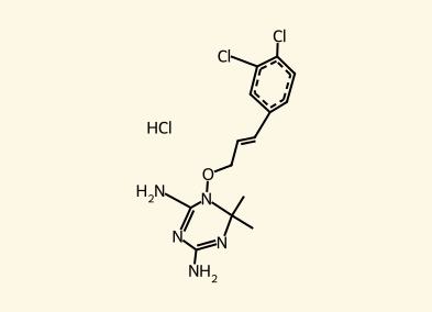 CC1(C)N=C(N)N=C(N)N1OCC=Cc1ccc(Cl)c(Cl)c1.Cl